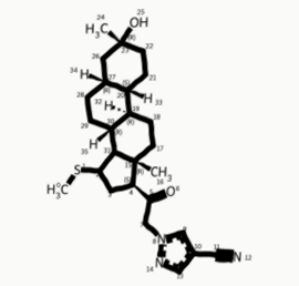 CSC1C[C@H](C(=O)Cn2cc(C#N)cn2)[C@@]2(C)CC[C@@H]3[C@H]4CC[C@@](C)(O)C[C@H]4CC[C@H]3C12